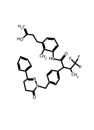 C=C(O)CCc1cccc(NC(=O)C(c2ccc(CN3N=C(c4ccccc4)CCC3=O)cc2)C(C)C(F)(F)F)c1C